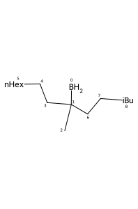 BC(C)(CCCCCCCC)CCC(C)CC